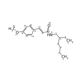 CCCCC(CC)CNC(=O)C=Cc1ccc(OC)cc1